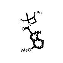 CCCCC1CN(C(=O)c2cc3c(OC)cccc3[nH]2)C1(C)C(C)C